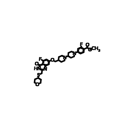 COC(=O)c1ccc(N2CCC(N3CCC(COc4cc(F)c5c(=O)[nH]c(CSC6CCOCC6)nc5c4)CC3)CC2)cc1F